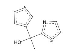 CC(O)(c1ccsc1)c1nccs1